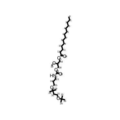 CCCCCCCCCCCCCC(=O)OCC(COC(=O)NCCCOC(C)(C)CCOC(C)(C)C)OC